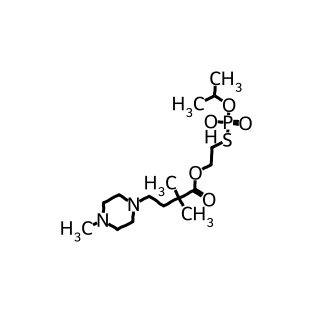 CC(C)OP(=O)(O)SCCOC(=O)C(C)(C)CCN1CCN(C)CC1